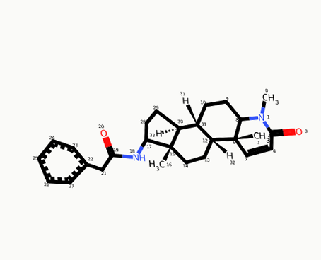 CN1C(=O)C=C[C@@]2(C)C1CC[C@@H]1[C@H]2CC[C@]2(C)C(NC(=O)Cc3ccccc3)CC[C@@H]12